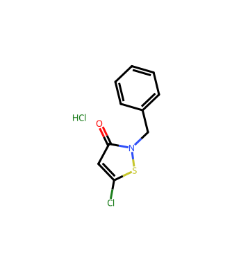 Cl.O=c1cc(Cl)sn1Cc1ccccc1